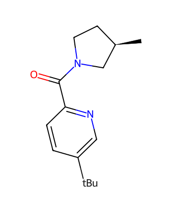 C[C@@H]1CCN(C(=O)c2ccc(C(C)(C)C)cn2)C1